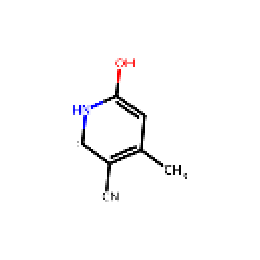 CC1=C(C#N)[C]NC(O)=C1